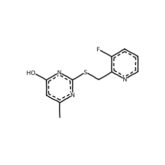 Cc1cc(O)nc(SCc2ncccc2F)n1